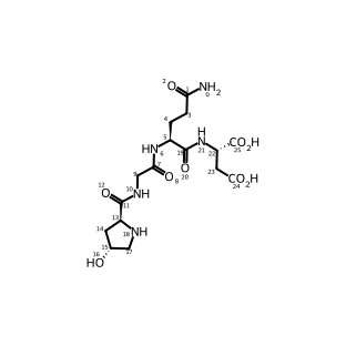 NC(=O)CC[C@H](NC(=O)CNC(=O)[C@@H]1C[C@@H](O)CN1)C(=O)N[C@@H](CC(=O)O)C(=O)O